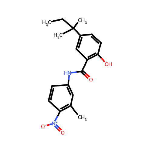 CCC(C)(C)c1ccc(O)c(C(=O)Nc2ccc([N+](=O)[O-])c(C)c2)c1